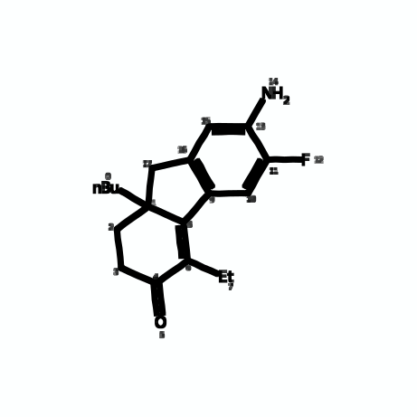 CCCCC12CCC(=O)C(CC)=C1c1cc(F)c(N)cc1C2